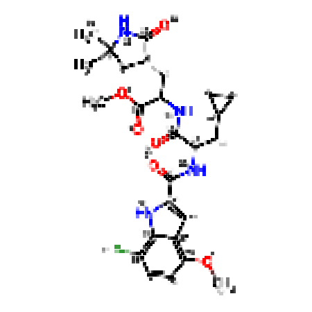 COC(=O)C(C[C@@H]1CC(C)(C)NC1=O)NC(=O)C(CC1CC1)NC(=O)c1cc2c(OC)ccc(F)c2[nH]1